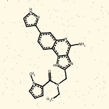 CCN(Cc1nc2c(N)nc3cc(-c4cc[nH]n4)ccc3c2[nH]1)C(=O)c1cccn1C